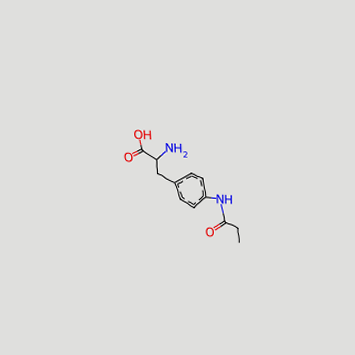 CCC(=O)Nc1ccc(CC(N)C(=O)O)cc1